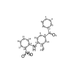 O=C(c1ccccc1)c1ccc(Nc2ccccc2[N+](=O)[O-])c(F)c1